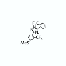 CSc1ccc(-c2nnc(-c3ccccc3C(F)(F)F)n2C)c(C(F)(F)F)c1